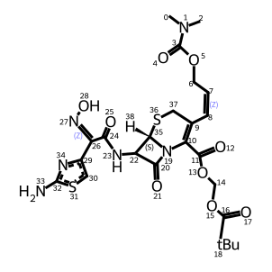 CN(C)C(=O)OC/C=C\C1=C(C(=O)OCOC(=O)C(C)(C)C)N2C(=O)C(NC(=O)/C(=N\O)c3csc(N)n3)[C@@H]2SC1